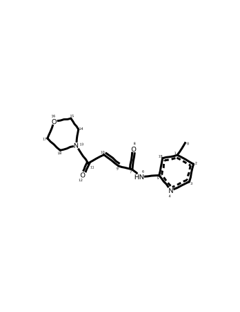 Cc1ccnc(NC(=O)C=CC(=O)N2CCOCC2)c1